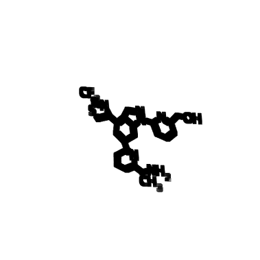 C[C@H](N)c1cccc(-c2cc(-c3csc(C(F)(F)F)n3)c3cnn(-c4cccc(CO)n4)c3c2)n1